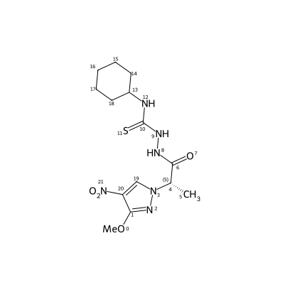 COc1nn([C@@H](C)C(=O)NNC(=S)NC2CCCCC2)cc1[N+](=O)[O-]